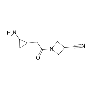 N#CC1CN(C(=O)CC2CC2N)C1